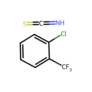 FC(F)(F)c1ccccc1Cl.N=C=S